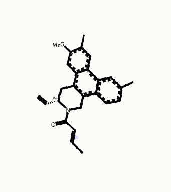 C=C[C@@H]1Cc2c(c3ccc(C)cc3c3cc(C)c(OC)cc23)CN1C(=O)/C=C/C